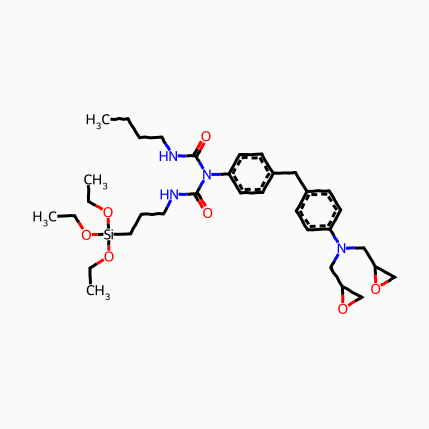 CCCCNC(=O)N(C(=O)NCCC[Si](OCC)(OCC)OCC)c1ccc(Cc2ccc(N(CC3CO3)CC3CO3)cc2)cc1